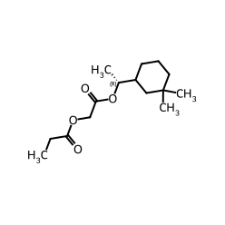 CCC(=O)OCC(=O)O[C@H](C)C1CCCC(C)(C)C1